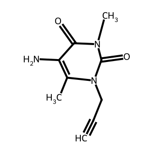 C#CCn1c(C)c(N)c(=O)n(C)c1=O